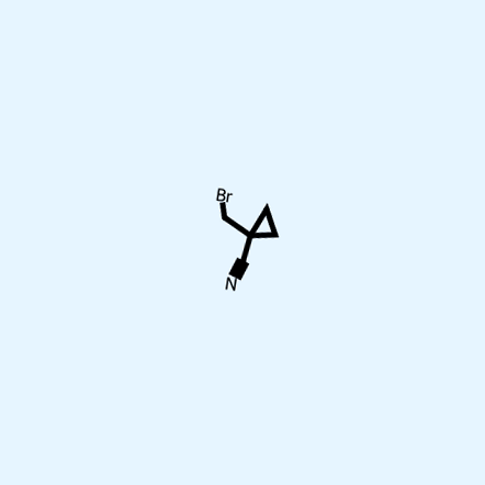 N#CC1(CBr)CC1